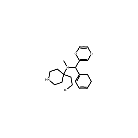 CN(C(C1=CC=CCC1)C1=COC=CO1)C1(CCO)CCNCC1